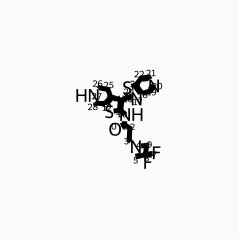 O=C(CCN1CC(F)(F)C1)Nc1sc2c(c1-c1nc3cnccc3s1)CCNC2